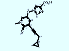 Cn1cc(On2cc(C(=O)O)nn2)cc(C#CCC2CC2)c1=O